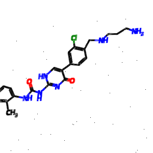 Cc1ccccc1NC(=O)Nc1nc(=O)c(-c2ccc(CNCCCN)c(Cl)c2)c[nH]1